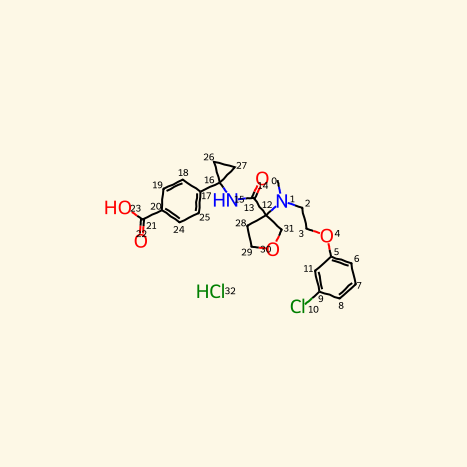 CN(CCOc1cccc(Cl)c1)C1(C(=O)NC2(c3ccc(C(=O)O)cc3)CC2)CCOC1.Cl